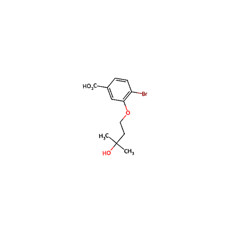 CC(C)(O)CCOc1cc(C(=O)O)ccc1Br